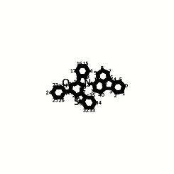 c1ccc2c(c1)-c1cccc3c(-n4c5ccccc5c5c6oc7ccccc7c6c6sc7ccccc7c6c54)ccc-2c13